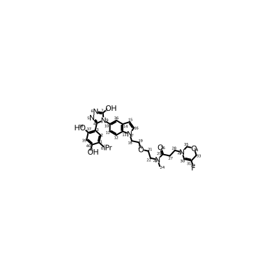 CC(C)c1cc(-c2nnc(O)n2-c2ccc3c(ccn3CCOCCN(C)C(=O)CCN3C=C(F)COC3)c2)c(O)cc1O